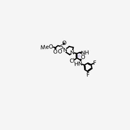 COC(=O)CS(=O)(=O)N1CCN(/C(C=N)=C(\Cl)C(=O)Nc2cc(F)cc(F)c2)CC1